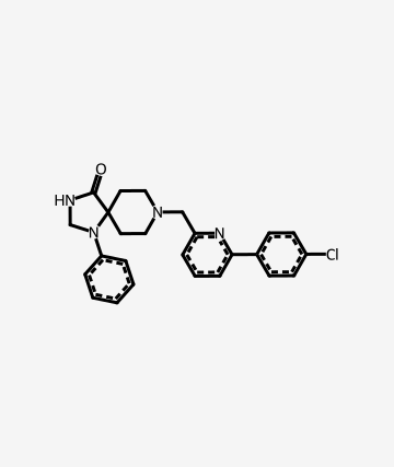 O=C1NCN(c2ccccc2)C12CCN(Cc1cccc(-c3ccc(Cl)cc3)n1)CC2